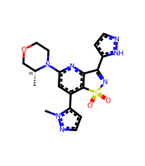 C[C@@H]1COCCN1c1cc(-c2ccnn2C)c2c(n1)C(c1ccn[nH]1)=NS2(=O)=O